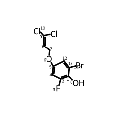 Oc1c(F)cc(OCC=C(Cl)Cl)cc1Br